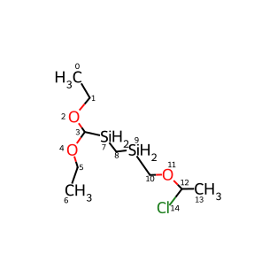 CCOC(OCC)[SiH2]C[SiH2]COC(C)Cl